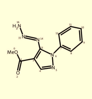 COC(=O)c1cnn(-c2ccccc2)c1N=NN